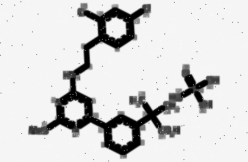 COc1nc(NCCc2ccc(Cl)cc2Cl)cc(-c2cccc(C(C)(C)C(=O)O)c2)n1.O=P(O)(O)O